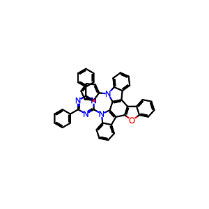 c1ccc(-c2nc(-c3ccccc3)nc(-n3c4ccccc4c4c5oc6ccccc6c5c5c6ccccc6n(-c6ccccc6)c5c43)n2)cc1